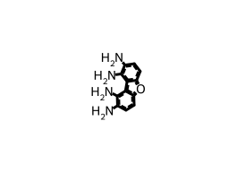 Nc1ccc2oc3ccc(N)c(N)c3c2c1N